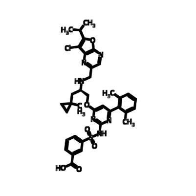 Cc1cccc(C)c1-c1cc(OC[C@@H](CC2(C)CC2)NCc2cnc3oc(C(C)C)c(Cl)c3n2)nc(NS(=O)(=O)c2cccc(C(=O)O)c2)n1